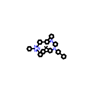 CC1(C)c2ccccc2-c2ccc(N(c3ccc(-c4ccccc4)cc3)c3cccc(-n4c5ccccc5c5cc(-c6cccc(-c7nc(-c8ccccc8)nc(-c8ccccc8)n7)c6)ccc54)c3)cc21